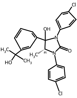 C[C@H]1N(c2ccc(Cl)cc2)C(=O)N(c2ccc(Cl)cc2)C1(O)c1cccc(C(C)(C)O)c1